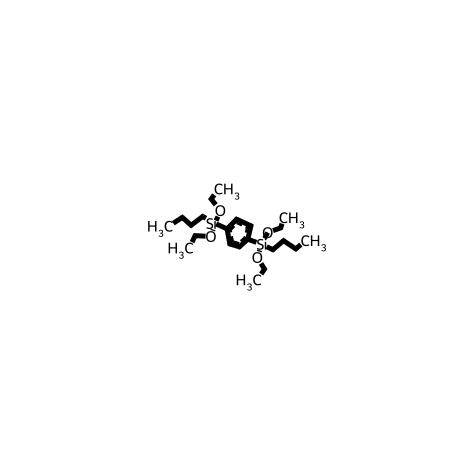 CCCC[Si](OCC)(OCC)c1ccc([Si](CCCC)(OCC)OCC)cc1